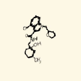 C[C@@H]1CCC[C@](O)(CNC(=O)c2cn(CC3CCCO3)c3cccc(Cl)c23)C1